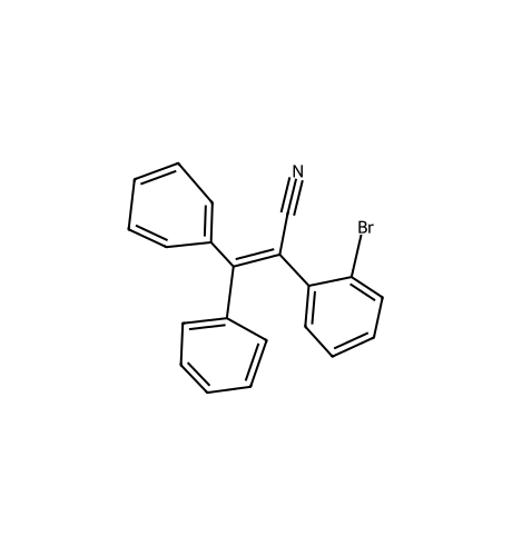 N#CC(=C(c1ccccc1)c1ccccc1)c1ccccc1Br